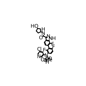 COc1ncc(Cl)cc1N(c1ccc(F)c(-c2ccc3c(C(=O)NC4CCC(O)C4)n[nH]c3c2F)c1F)[SH](=O)=O